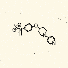 CS(=O)(=O)Nc1ccc(OC2CCN(c3ccncc3)CC2)cc1